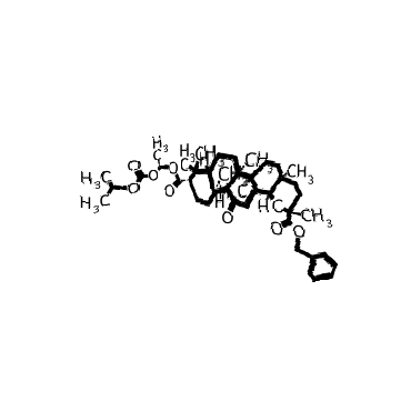 CC(C)OC(=O)O[C@H](C)OC(=O)[C@H]1CC[C@]2(C)[C@H]3C(=O)C=C4[C@@H]5C[C@@](C)(C(=O)OCc6ccccc6)CC[C@]5(C)CC[C@@]4(C)[C@]3(C)CC[C@H]2C1(C)C